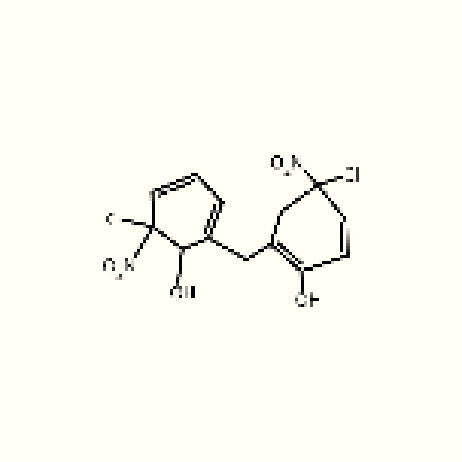 O=[N+]([O-])C1(Cl)C=CC(O)=C(CC2=CC=CC(Cl)([N+](=O)[O-])C2O)C1